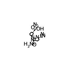 CN1CCC(O)(C#Cc2cccc(-n3nc(C(N)=O)c4ccc(-c5cnn(C)c5)nc43)c2)C1=O